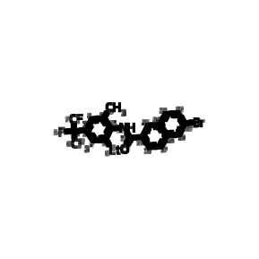 CCc1cc(C(F)(C(F)(F)F)C(F)(F)F)cc(C)c1NC(=O)c1ccc2cc(Br)ccc2c1